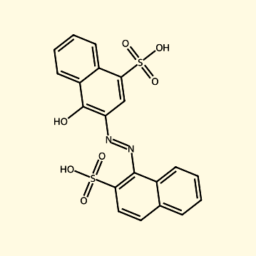 O=S(=O)(O)c1ccc2ccccc2c1/N=N/c1cc(S(=O)(=O)O)c2ccccc2c1O